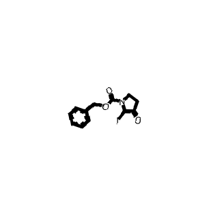 O=C1CCN(C(=O)OCc2ccccc2)C1I